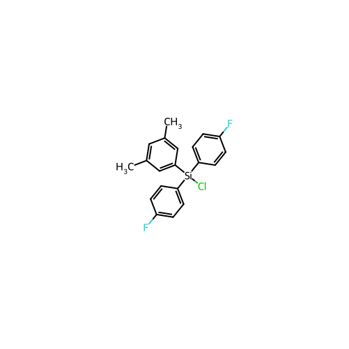 Cc1cc(C)cc([Si](Cl)(c2ccc(F)cc2)c2ccc(F)cc2)c1